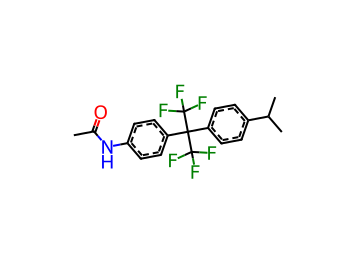 CC(=O)Nc1ccc(C(c2ccc(C(C)C)cc2)(C(F)(F)F)C(F)(F)F)cc1